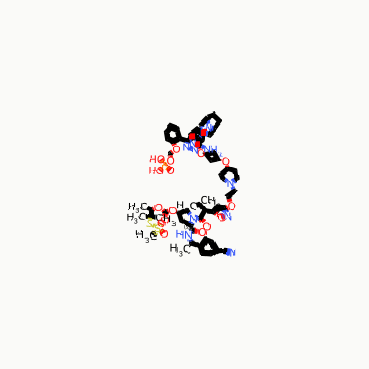 CC(C)C(C(=O)N1C[C@H](OC(=O)OC(C)C(C)(C)SS(C)(=O)=O)C[C@H]1C(=O)N[C@@H](C)c1ccc(C#N)cc1)c1cc(OCCN2CCC(O[C@H]3C[C@H](Oc4cc(N5C6CCC5CN(c5cc(-c7ccccc7OCOP(=O)(O)O)nnc5N)C6)ccn4)C3)CC2)no1